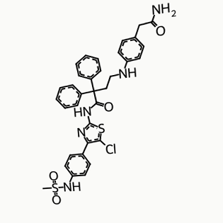 CS(=O)(=O)Nc1ccc(-c2nc(NC(=O)C(CCNc3ccc(CC(N)=O)cc3)(c3ccccc3)c3ccccc3)sc2Cl)cc1